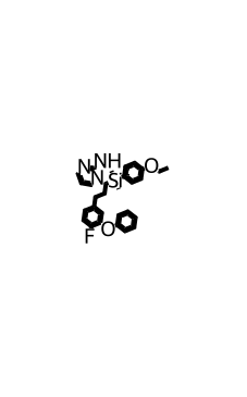 CCOc1ccc([Si](C)(C)CCCc2ccc(F)c(Oc3ccccc3)c2)cc1.Nc1ncccn1